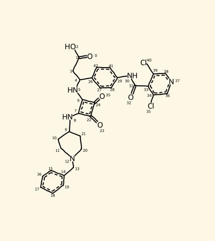 O=C(O)CC(Nc1c(NC2CCN(Cc3ccccc3)CC2)c(=O)c1=O)c1ccc(NC(=O)c2c(Cl)cncc2Cl)cc1